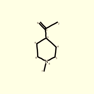 C=C(C)C1CCN(C)CC1